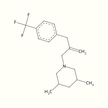 C=C(Cc1ccc(C(F)(F)F)cc1)CN1CC(C)CC(C)C1